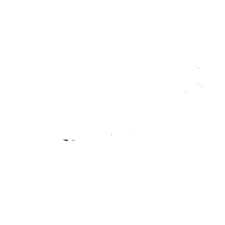 COc1ccc(C2C=NN=N2)cc1C(=O)N1CC[C@](CCO)(c2ccc(Cl)c(Cl)c2)C1